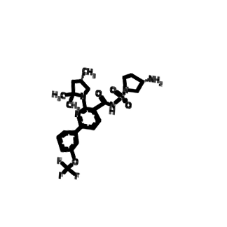 C[C@@H]1CN(c2nc(-c3cccc(OC(F)(F)F)c3)ccc2C(=O)NS(=O)(=O)N2CC[C@H](N)C2)C(C)(C)C1